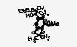 CCOC(=O)C(C)(C)C(O)c1cc2c(c(OC)c1)OC(C)(C)C2